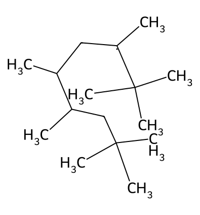 C[C](CC(C)C(C)CC(C)(C)C)C(C)(C)C